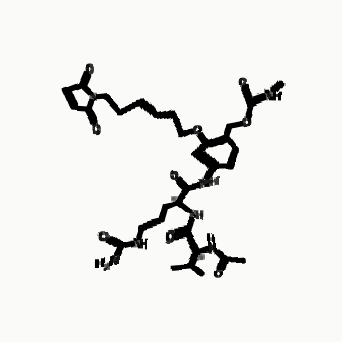 CNC(=O)OCc1ccc(NC(=O)[C@H](CCCNC(N)=O)NC(=O)[C@@H](NC(C)=O)C(C)C)cc1OCCCCCCN1C(=O)C=CC1=O